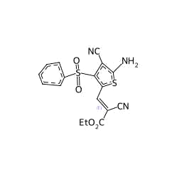 CCOC(=O)/C(C#N)=C/c1sc(N)c(C#N)c1S(=O)(=O)c1ccccc1